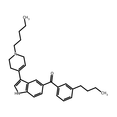 CCCCCN1CC=C(c2c[nH]c3ccc(C(=O)c4cccc(CCCC)c4)cc23)CC1